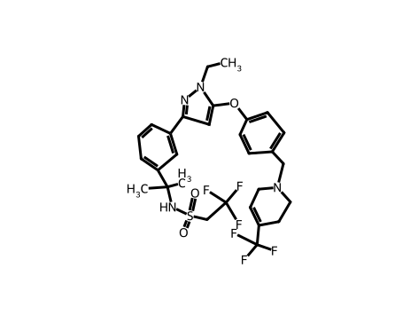 CCn1nc(-c2cccc(C(C)(C)NS(=O)(=O)CC(F)(F)F)c2)cc1Oc1ccc(CN2CC=C(C(F)(F)F)CC2)cc1